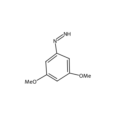 COc1cc(N=N)cc(OC)c1